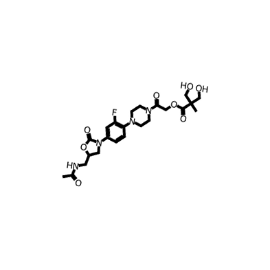 CC(=O)NCC1CN(c2ccc(N3CCN(C(=O)COC(=O)C(C)(CO)CO)CC3)c(F)c2)C(=O)O1